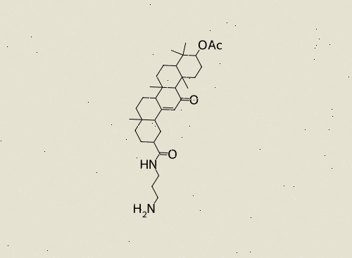 CC(=O)OC1CCC2(C)C(CCC3(C)C4CCC5(C)CCC(C(=O)NCCCN)CC5C4=CC(=O)C32)C1(C)C